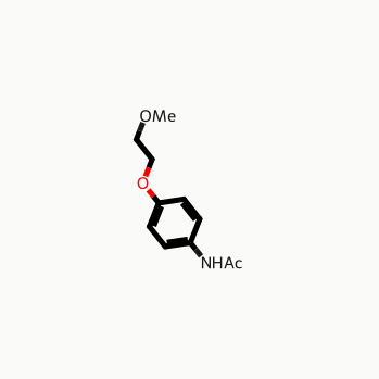 COCCOc1ccc(NC(C)=O)cc1